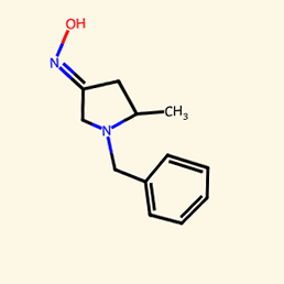 CC1CC(=NO)CN1Cc1ccccc1